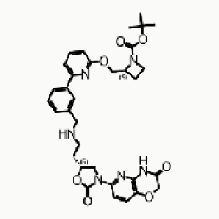 CC(C)(C)OC(=O)N1CC[C@H]1COc1cccc(-c2cccc(CNCC[C@@H]3CN(c4ccc5c(n4)NC(=O)CO5)C(=O)O3)c2)n1